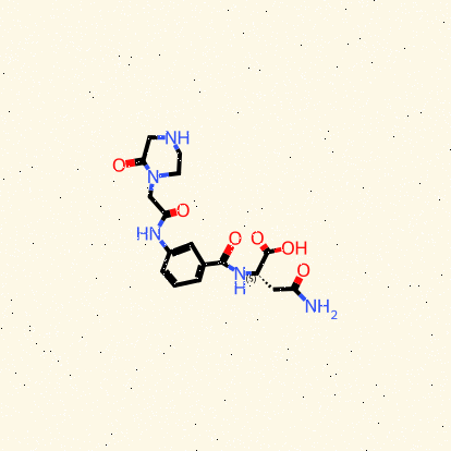 NC(=O)C[C@H](NC(=O)c1cccc(NC(=O)CN2CCNCC2=O)c1)C(=O)O